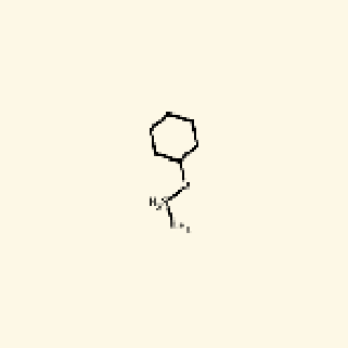 [SiH3][SiH2]OC1CCCCC1